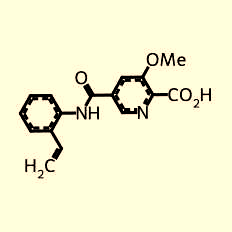 C=Cc1ccccc1NC(=O)c1cnc(C(=O)O)c(OC)c1